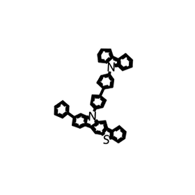 c1ccc(-c2ccc3c4cc5sc6ccccc6c5cc4n(-c4ccc(-c5ccc(-n6c7ccccc7c7ccccc76)cc5)cc4)c3c2)cc1